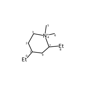 CCC1CC[N+](C)(C)C(CC)C1